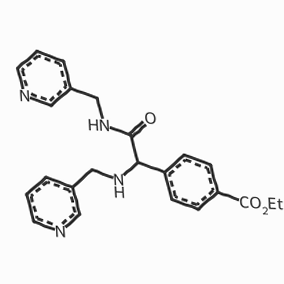 CCOC(=O)c1ccc(C(NCc2cccnc2)C(=O)NCc2cccnc2)cc1